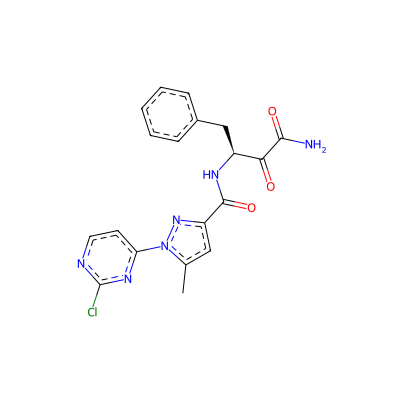 Cc1cc(C(=O)N[C@@H](Cc2ccccc2)C(=O)C(N)=O)nn1-c1ccnc(Cl)n1